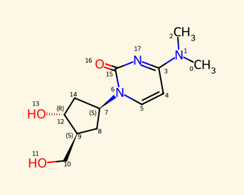 CN(C)c1ccn([C@H]2C[C@@H](CO)[C@H](O)C2)c(=O)n1